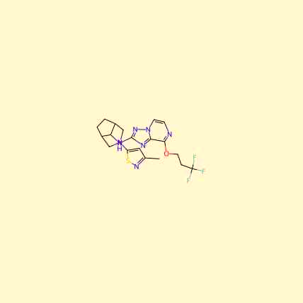 Cc1cc(N2CC3CCC(C2)C3Nc2nc3c(OCCC(F)(F)F)nccn3n2)sn1